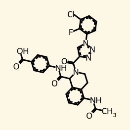 CC(=O)Nc1cccc2c1CCN(C(=O)c1cn(-c3cccc(Cl)c3F)nn1)C2C(=O)Nc1ccc(C(=O)O)cc1